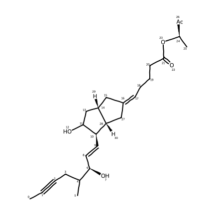 CC#CCC(C)[C@H](O)/C=C/[C@H]1C(O)C[C@@H]2C/C(=C\CCCC(=O)O[C@H](C)C(C)=O)C[C@@H]21